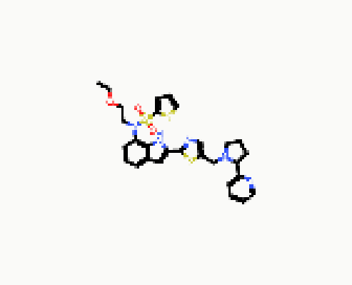 CCOCCN(c1cccc2cc(-c3ncc(CN4CCCC4c4ccccn4)s3)[nH]c12)S(=O)(=O)c1cccs1